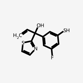 C=CC(O)(c1cc(F)cc(S)c1)c1nccs1